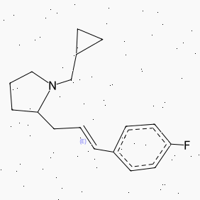 Fc1ccc(/C=C/CC2CCCN2CC2CC2)cc1